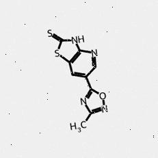 Cc1noc(-c2cnc3[nH]c(=S)sc3c2)n1